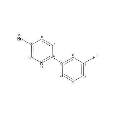 Fc1cc[c]c(-c2ccc(Br)cn2)c1